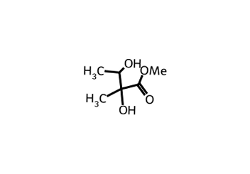 COC(=O)C(C)(O)C(C)O